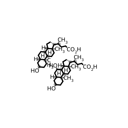 C[C@H](CCC(=O)O)[C@H]1CC[C@H]2[C@@H]3CC[C@@H]4C[C@H](O)CC[C@]4(C)[C@H]3CC[C@]12C.C[C@H](CCC(=O)O)[C@H]1CC[C@H]2[C@@H]3[C@@H](O)C[C@@H]4C[C@H](O)CC[C@]4(C)[C@H]3CC[C@]12C